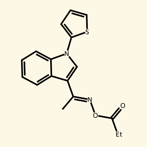 CCC(=O)O/N=C(\C)c1cn(-c2cccs2)c2ccccc12